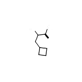 CC(CC1CCC1)C(N)=O